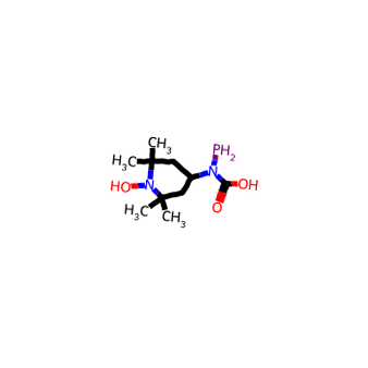 CC1(C)CC(N(P)C(=O)O)CC(C)(C)N1O